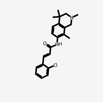 Cc1c(NC(=O)/C=C/c2ccccc2Cl)ccc2c1CN(C)CC2(C)C